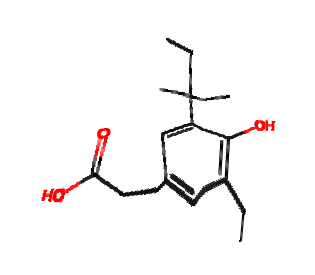 CCc1cc(CC(=O)O)cc(C(C)(C)CC)c1O